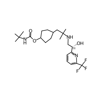 CC(C)(C)NC(=O)OC1CCC(CC(C)(C)NC[C@H](O)c2cccc(C(F)(F)F)n2)CC1